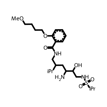 COCCCCOc1ccccc1C(=O)NCC(CC(N)C(O)CNS(=O)(=O)C(C)C)C(C)C